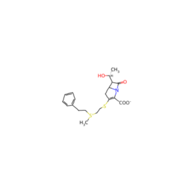 C[C@@H](O)C1C(=O)N2C(C(=O)[O-])=C(SCC[S+](C)CCc3ccccc3)CC12